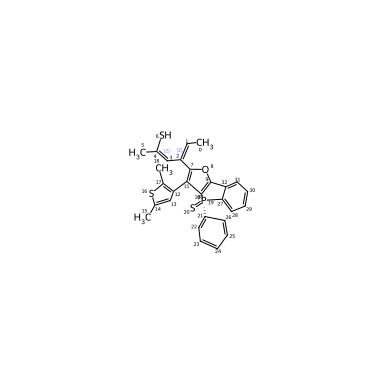 C/C=C(/C=C(/C)S)c1oc2c(c1-c1cc(C)sc1C)[P@@](=S)(c1ccccc1)c1ccccc1-2